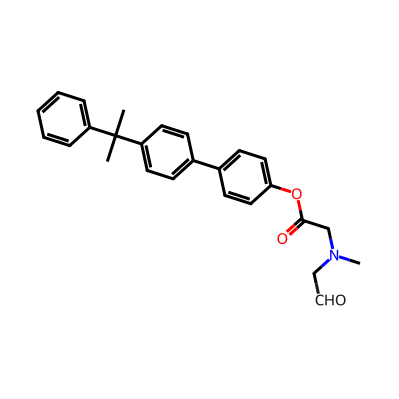 CN(CC=O)CC(=O)Oc1ccc(-c2ccc(C(C)(C)c3ccccc3)cc2)cc1